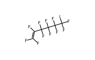 FC(F)=C(F)C(F)(F)C(F)(F)C(F)(F)C(F)(F)I